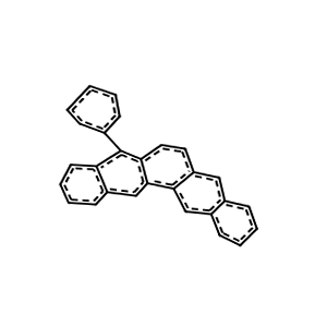 c1ccc(-c2c3ccccc3cc3c2ccc2cc4ccccc4cc23)cc1